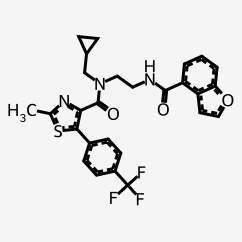 Cc1nc(C(=O)N(CCNC(=O)c2cccc3occc23)CC2CC2)c(-c2ccc(C(F)(F)F)cc2)s1